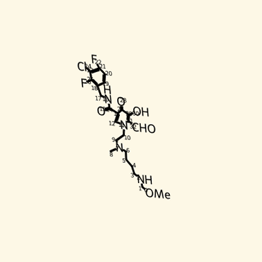 COCNCCCCN(C)CCn1cc(C(=O)NCc2ccc(F)c(Cl)c2F)c(=O)c(O)c1C=O